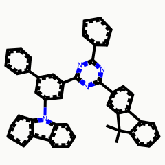 CC1(C)c2ccccc2-c2ccc(-c3nc(-c4ccccc4)nc(-c4cc(-c5ccccc5)cc(-n5c6ccccc6c6ccccc65)c4)n3)cc21